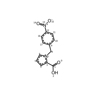 O=C(O)c1cccn1Cc1ccc([N+](=O)[O-])cc1